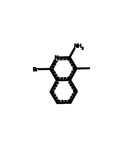 Cc1c(N)nc(Br)c2ccccc12